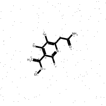 [2H]c1c(CC(N)=O)nc(F)c(C(=C)OCC)c1[2H]